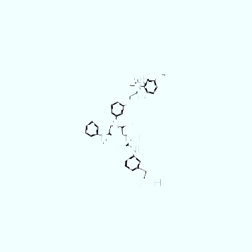 COc1cccc([N+](C)(O)C(=O)COc2cccc(N(CC(=O)N(C)c3ccccc3)C(=O)CNC(=O)Nc3cccc(CC(=O)O)c3)c2)c1